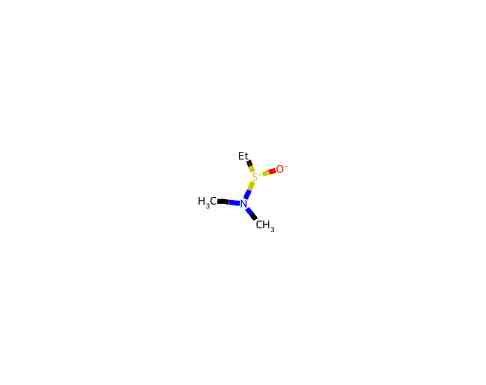 CC[S+]([O-])N(C)C